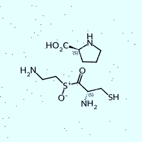 NCC[S+]([O-])C(=O)[C@@H](N)CS.O=C(O)[C@@H]1CCCN1